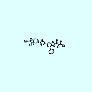 CCNC(=O)Nc1nc2cc(-c3cnc(N4CCC(=O)C(C)(C(=O)OC)C4)nc3)cc(-c3ccccn3)c2s1